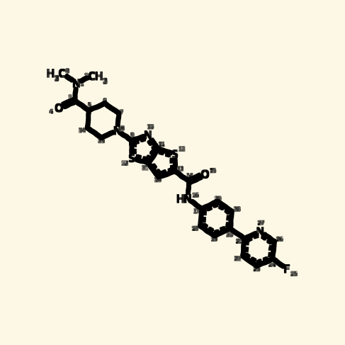 CN(C)C(=O)C1CCN(c2nc3sc(C(=O)Nc4ccc(-c5ccc(F)cn5)cc4)cc3s2)CC1